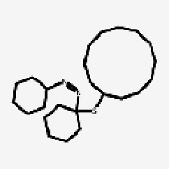 C1CCCCCC(SC2(N=NC3CCCCC3)CCCCC2)CCCCC1